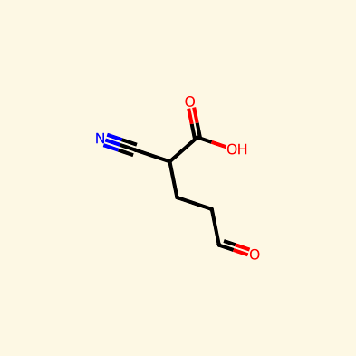 N#CC(CCC=O)C(=O)O